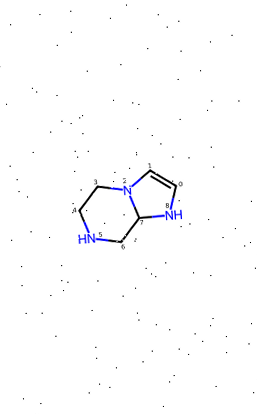 C1=CN2CCNCC2N1